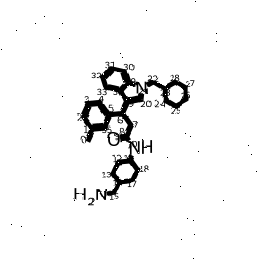 Cc1cccc(C(CC(=O)NC2CCC(CN)CC2)c2cn(CC3CCCCC3)c3ccccc23)c1